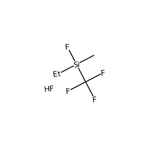 CC[Si](C)(F)C(F)(F)F.F